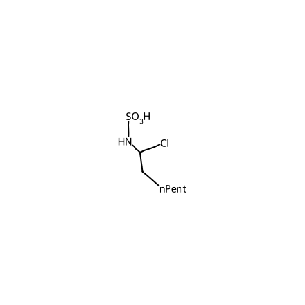 CCCCCCC(Cl)NS(=O)(=O)O